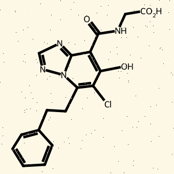 O=C(O)CNC(=O)c1c(O)c(Cl)c(CCc2ccccc2)n2ncnc12